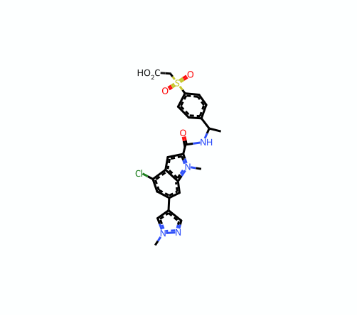 CC(NC(=O)c1cc2c(Cl)cc(-c3cnn(C)c3)cc2n1C)c1ccc(S(=O)(=O)CC(=O)O)cc1